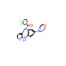 O=C(C1CCCC(F)(F)C1)N1Cc2cccnc2Nc2ccc(N3CCOCC3)cc21